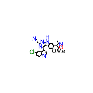 COc1cc2c(cc1-c1c(C)noc1C)[nH]c1nc(CCN(C)C)nc(-c3ccnc4ccc(Cl)cc34)c12